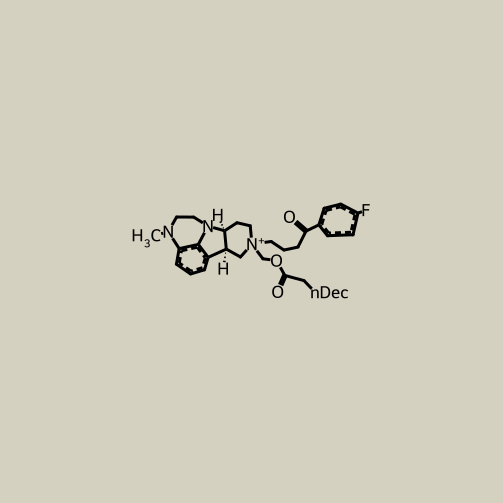 CCCCCCCCCCCC(=O)OC[N+]1(CCCC(=O)c2ccc(F)cc2)CC[C@H]2[C@@H](C1)c1cccc3c1N2CCN3C